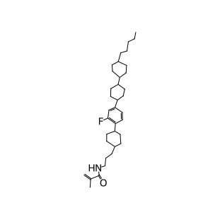 C=C(C)C(=O)NCCCC1CCC(c2ccc(C3CCC(C4CCC(CCCCC)CC4)CC3)cc2F)CC1